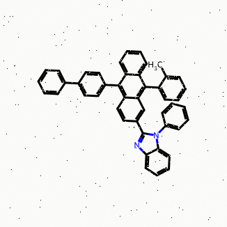 Cc1ccccc1-c1c2ccccc2c(-c2ccc(-c3ccccc3)cc2)c2ccc(-c3nc4ccccc4n3-c3ccccc3)cc12